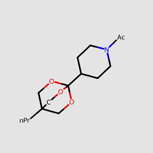 CCCC12COC(C3CCN(C(C)=O)CC3)(OC1)OC2